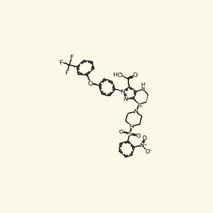 O=C(O)c1c2c(nn1-c1ccc(Oc3cccc(C(F)(F)F)c3)cc1)[C@H](N1CCN(S(=O)(=O)c3ccccc3[N+](=O)[O-])CC1)CCN2